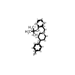 CC(C)(C)Oc1nccnc1CN1CCC(c2[c]cc(F)cc2)CC1